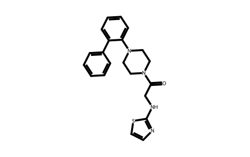 O=C(CNc1nccs1)N1CCN(c2ccccc2-c2ccccc2)CC1